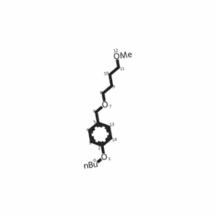 CCCCOc1ccc(COCCCCOC)cc1